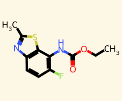 CCOC(=O)Nc1c(F)ccc2nc(C)sc12